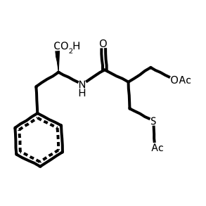 CC(=O)OCC(CSC(C)=O)C(=O)N[C@@H](Cc1ccccc1)C(=O)O